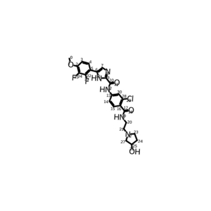 COc1ccc(-c2cnc(C(=O)Nc3ccc(C(=O)NCCN4CCC(O)C4)c(Cl)c3)[nH]2)c(F)c1F